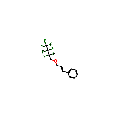 FC(F)(F)C(F)(F)C(F)(F)COCC=Cc1ccccc1